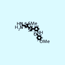 COc1ccc(C(=O)Nc2cccc(-c3csc(-c4cc(C(=N)N)sc4SC)n3)c2)cc1